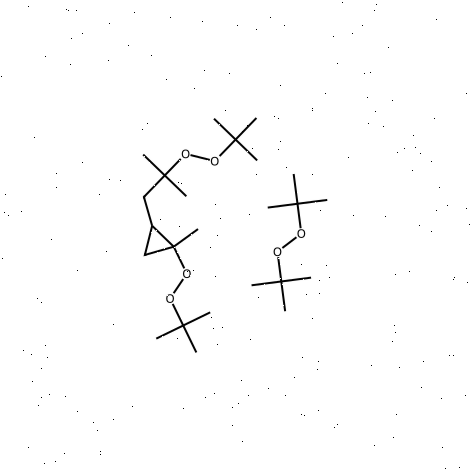 CC(C)(C)OOC(C)(C)C.CC(C)(C)OOC(C)(C)CC1CC1(C)OOC(C)(C)C